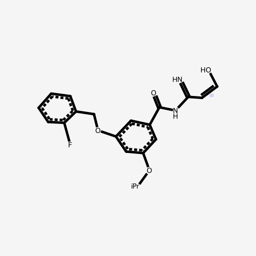 CC(C)Oc1cc(OCc2ccccc2F)cc(C(=O)NC(=N)/C=C\O)c1